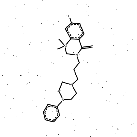 C[Si]1(C)CN(CCCN2CCN(c3ccccc3)CC2)C(=O)c2ccc(F)cc21